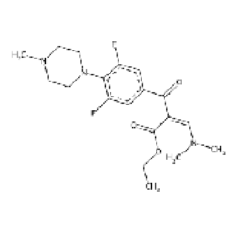 CCOC(=O)/C(=C\N(C)C)C(=O)c1cc(F)c(N2CCN(C)CC2)c(F)c1